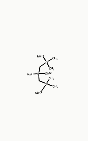 CO[Si](C)(C)C[Si](C[Si](C)(C)OC)(OC)OC